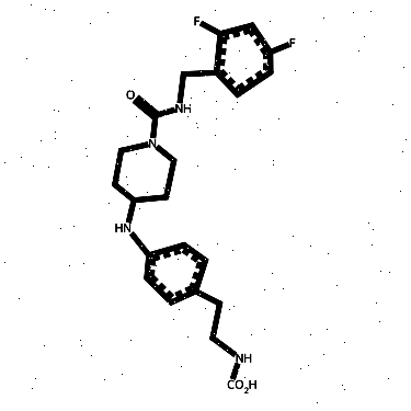 O=C(O)NCCc1ccc(NC2CCN(C(=O)NCc3ccc(F)cc3F)CC2)cc1